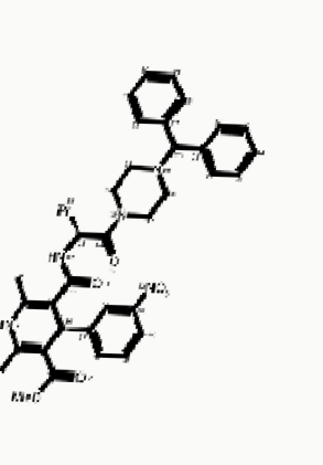 COC(=O)C1=C(C)NC(C)=C(C(=O)N[C@H](C(=O)N2CCN(C(c3ccccc3)c3ccccc3)CC2)C(C)C)[C@H]1c1cccc([N+](=O)[O-])c1